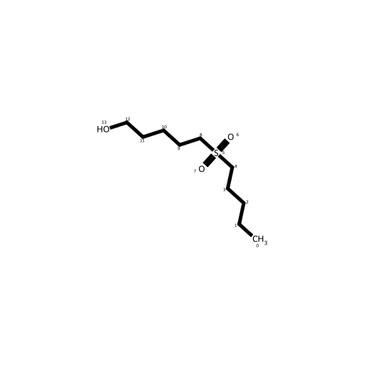 CCCCCS(=O)(=O)CCCCCO